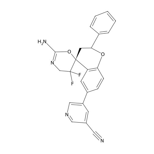 N#Cc1cncc(-c2ccc3c(c2)[C@@]2(CC(c4ccccc4)O3)OC(N)=NCC2(F)F)c1